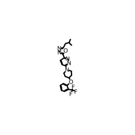 CC(C)Cc1nnc(-c2ccc(N3CCC(Oc4ccccc4C(F)(F)F)CC3)nn2)o1